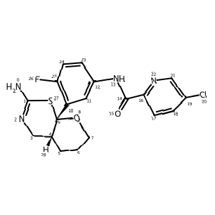 NC1=NC[C@H]2CCCO[C@@]2(c2cc(NC(=O)c3ccc(Cl)cn3)ccc2F)S1